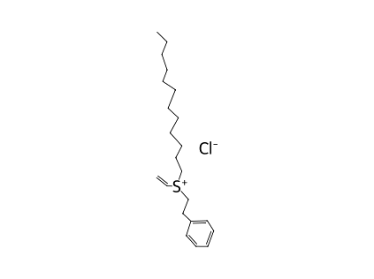 C=C[S+](CCCCCCCCCCCC)CCc1ccccc1.[Cl-]